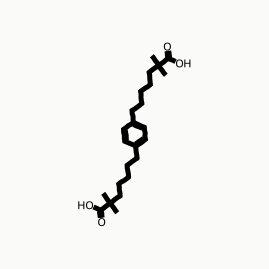 CC(C)(CCCCCc1ccc(CCCCCC(C)(C)C(=O)O)cc1)C(=O)O